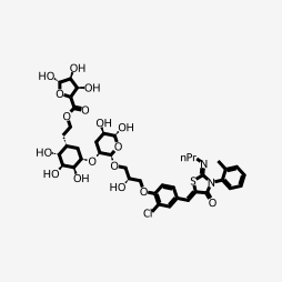 CCC/N=C1\S/C(=C\c2ccc(OC[C@H](O)CO[C@H]3O[C@@H](O)[C@H](O)C[C@H]3O[C@H]3C[C@@H](CCOC(=O)C4O[C@H](O)[C@@H](O)[C@H]4O)[C@@H](O)[C@H](O)[C@@H]3O)c(Cl)c2)C(=O)N1c1ccccc1C